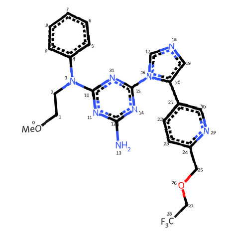 COCCN(c1ccccc1)c1nc(N)nc(-n2cncc2-c2ccc(COCC(F)(F)F)nc2)n1